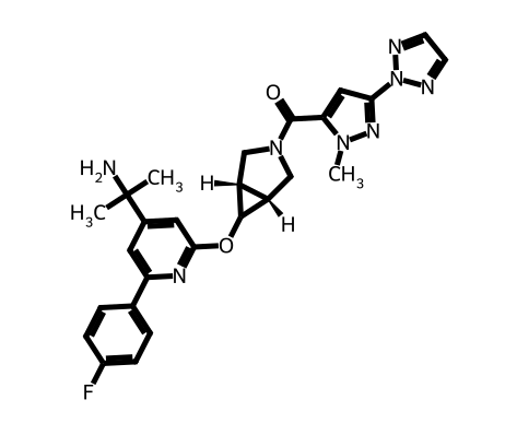 Cn1nc(-n2nccn2)cc1C(=O)N1C[C@@H]2C(Oc3cc(C(C)(C)N)cc(-c4ccc(F)cc4)n3)[C@@H]2C1